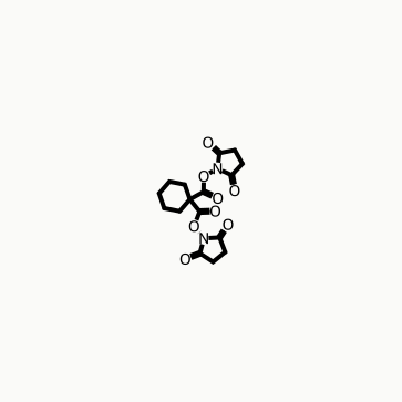 O=C1CCC(=O)N1OC(=O)C1(C(=O)ON2C(=O)CCC2=O)CCCCC1